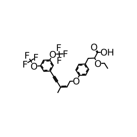 CCOC(Cc1ccc(OCC=C(C)C#Cc2cc(OC(F)(F)F)cc(OC(F)(F)F)c2)cc1)C(=O)O